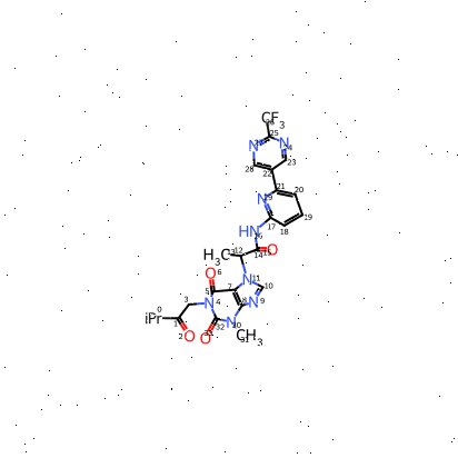 CC(C)C(=O)Cn1c(=O)c2c(ncn2C(C)C(=O)Nc2cccc(-c3cnc(C(F)(F)F)nc3)n2)n(C)c1=O